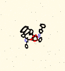 c1ccc(-c2ccc(-n3c4ccccc4c4ccc(-c5ccc6c7ccccc7c7cccc(-c8cc(-c9ccccc9)cc(-c9ccccc9)n8)c7c6c5)cc43)cc2)cc1